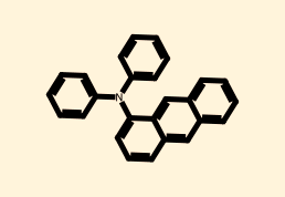 [c]1ccc2cc3cccc(N(c4ccccc4)c4ccccc4)c3cc2c1